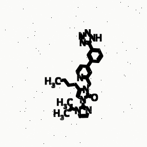 CCCCc1cn(-c2nccn2C(C)C)c(=O)n1Cc1cc(-c2cccc(-c3nnn[nH]3)c2)ccn1